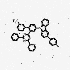 Cc1ccc(-c2ccc3c(c2)c2ccccc2n3-c2ccc(-c3cccc(C(F)(F)F)c3)c(-c3nc(-c4ccccc4)nc(-c4ccccc4)n3)c2)cc1